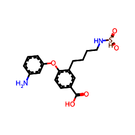 Nc1cccc(Oc2ccc(C(=O)O)cc2CCCCN[SH](=O)=O)c1